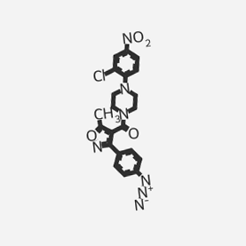 Cc1onc(-c2ccc(N=[N+]=[N-])cc2)c1C(=O)N1CCN(c2ccc([N+](=O)[O-])cc2Cl)CC1